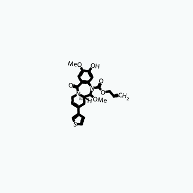 C=CCOC(=O)N1c2cc(O)c(OC)cc2C(=O)N2CC=C(c3ccsc3)C[C@H]2C1OC